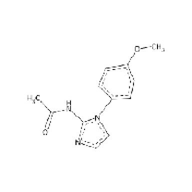 COc1ccc(-n2ccnc2NC(C)=O)cc1